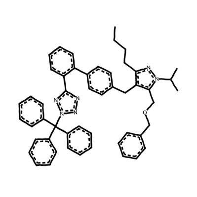 CCCCc1nn(C(C)C)c(COCc2ccccc2)c1Cc1ccc(-c2ccccc2-c2nnn(C(c3ccccc3)(c3ccccc3)c3ccccc3)n2)cc1